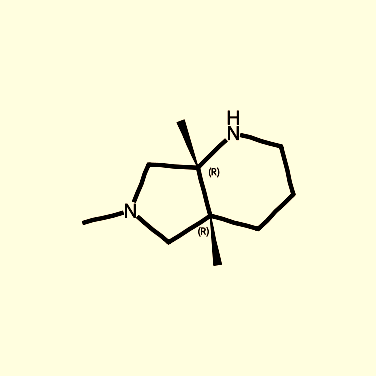 CN1C[C@@]2(C)CCCN[C@@]2(C)C1